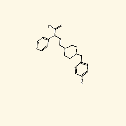 CCC(=O)N(CCN1CCC(Cc2ccc(F)cc2)CC1)c1ccccc1